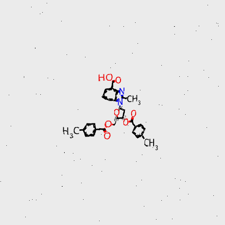 Cc1ccc(C(=O)OC[C@H]2O[C@@H](n3c(C)nc4c(C(=O)O)cccc43)C[C@@H]2OC(=O)c2ccc(C)cc2)cc1